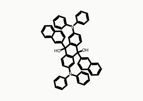 OC1(c2ccc3ccccc3c2)c2ccc(N(c3ccccc3)c3ccccc3)cc2C(O)(c2ccc3ccccc3c2)c2ccc(N(c3ccccc3)c3ccccc3)cc21